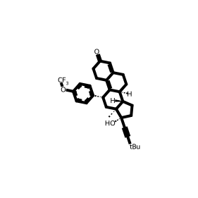 CC(C)(C)C#C[C@]1(O)CC[C@H]2[C@@H]3CCC4=CC(=O)CCC4=C3[C@@H](c3ccc(OC(F)(F)F)cc3)C[C@@]21C